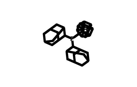 C1C2CC3CC1CC(C2)C3P(C1C2CC3CC(C2)CC1C3)[C]12[CH]3[CH]4[CH]5[CH]1[Fe]45321678[CH]2[CH]1[CH]6[CH]7[CH]28